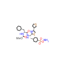 COC(=O)N[C@@H](Cc1ccccc1)C(=O)N[C@@H](Cc1ccc(S(=O)(=O)ON)cc1)c1nc(-c2ccsc2)cs1